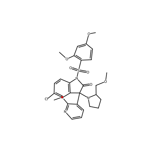 COCC1CCCN1C1(c2cccnc2OC)C(=O)N(S(=O)(=O)c2ccc(OC)cc2OC)c2ccc(Cl)cc21